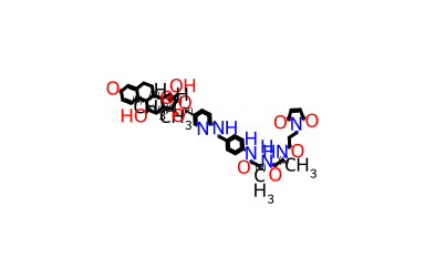 C[C@H](NC(=O)CCN1C(=O)C=CC1=O)C(=O)N[C@@H](C)C(=O)Nc1ccc(CNc2ccc([C@@H]3O[C@@H]4CC5[C@@H]6CCC7=CC(=O)C=C[C@]7(C)C6[C@@H](O)C[C@]5(C)[C@]4(C(=O)CO)O3)cn2)cc1